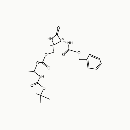 CC(NC(=O)OC(C)(C)C)OC(=O)OC[C@@H]1NC(=O)[C@@H]1NC(=O)OCc1ccccc1